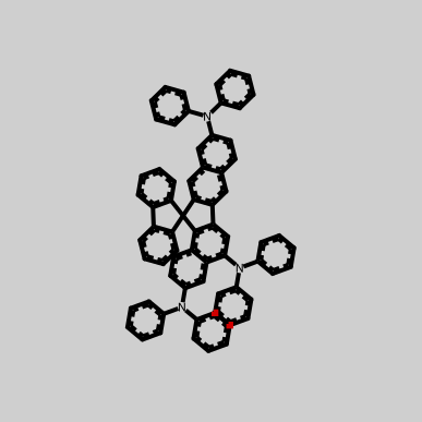 c1ccc(N(c2ccccc2)c2ccc3cc4c(cc3c2)C2(c3ccccc3-c3ccccc32)c2c-4cc(N(c3ccccc3)c3ccccc3)c3cc(N(c4ccccc4)c4ccccc4)ccc23)cc1